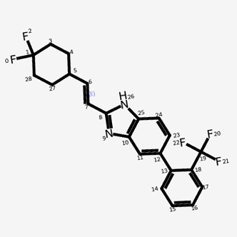 FC1(F)CCC(/C=C/c2nc3cc(-c4ccccc4C(F)(F)F)ccc3[nH]2)CC1